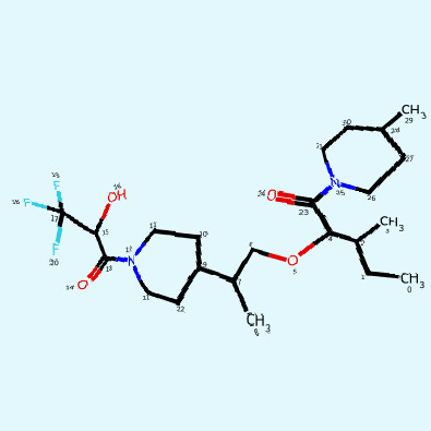 CCC(C)C(OCC(C)C1CCN(C(=O)C(O)C(F)(F)F)CC1)C(=O)N1CCC(C)CC1